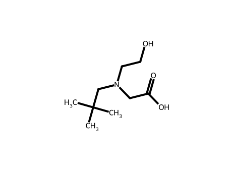 CC(C)(C)CN(CCO)CC(=O)O